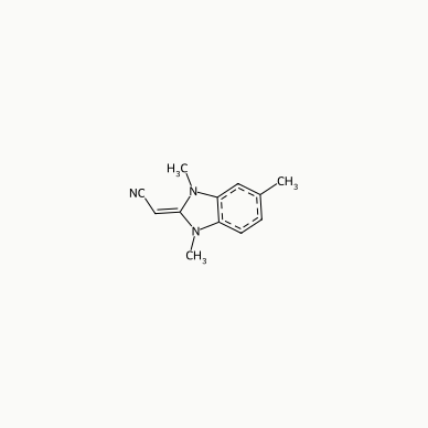 Cc1ccc2c(c1)N(C)C(=CC#N)N2C